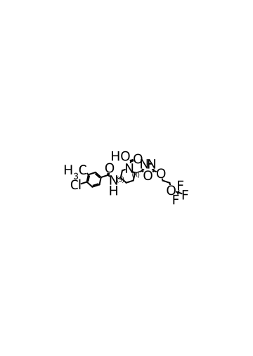 Cc1cc(C(=O)N[C@H]2CC[C@H](c3nnc(OCCOC(F)(F)F)o3)N(C(=O)O)C2)ccc1Cl